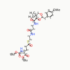 COc1ccc(CC2OCC(C)(C)[C@H](C(=O)NCCC(=O)NCCSC(=O)CC[C@H](NC(=O)OC(C)(C)C)C(=O)OC(C)(C)C)O2)cc1